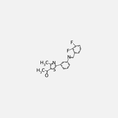 CC(=O)c1sc(-c2cccc(N=Cc3cccc(F)c3F)c2)nc1C